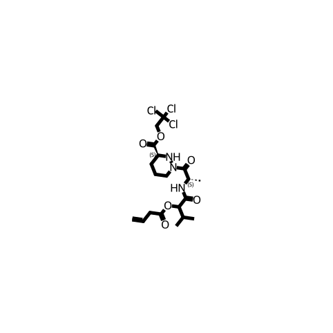 C=CCC(=O)OC(C(=O)N[C@@H](C)C(=O)N1CCC[C@@H](C(=O)OCC(Cl)(Cl)Cl)N1)C(C)C